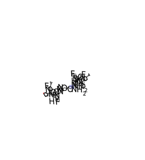 N/C(=C\N(N)CC(=O)N1C[C@H](F)C[C@H]1C(=O)N[C@@H](c1ccccc1)c1ccc(C2CC2)c(F)n1)OCCOc1cn(CC(=O)N2C[C@H](F)C[C@H]2C(=O)N[C@@H](c2ccccc2)c2ccc(C3CC3)c(F)n2)nn1